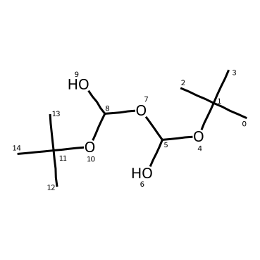 CC(C)(C)OC(O)OC(O)OC(C)(C)C